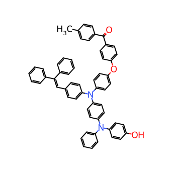 Cc1ccc(C(=O)c2ccc(Oc3ccc(N(c4ccc(C=C(c5ccccc5)c5ccccc5)cc4)c4ccc(N(c5ccccc5)c5ccc(O)cc5)cc4)cc3)cc2)cc1